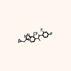 CC(Cc1ccc(F)cc1F)c1ccn2c(CC3CC3)nnc2c1C(F)(F)F